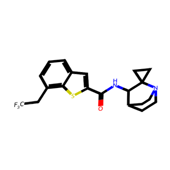 O=C(NC1C2CCN(CC2)C12CC2)c1cc2cccc(CC(F)(F)F)c2s1